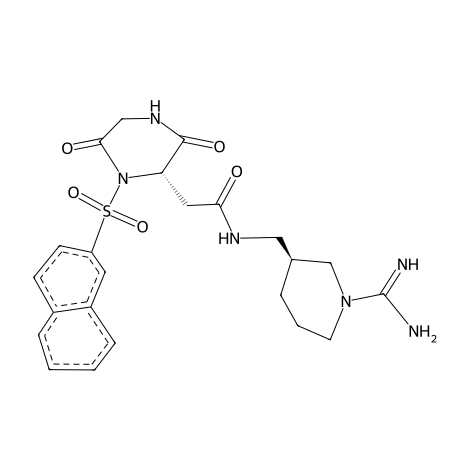 N=C(N)N1CCC[C@@H](CNC(=O)C[C@H]2C(=O)NCC(=O)N2S(=O)(=O)c2ccc3ccccc3c2)C1